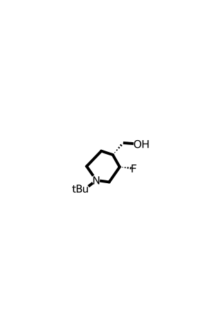 CC(C)(C)N1CC[C@H](CO)[C@H](F)C1